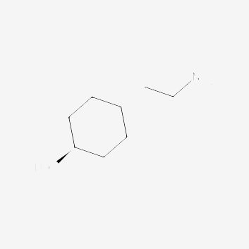 C[C@H]1CC[C@H](CCN)CC1